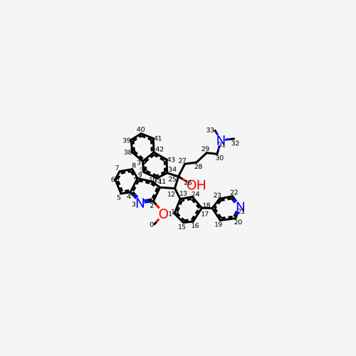 COc1nc2ccccc2cc1C(c1cccc(-c2ccncc2)c1)C(O)(CCCCN(C)C)c1ccc2ccccc2c1